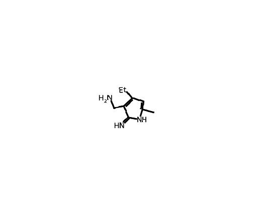 CCc1cc(C)[nH]c(=N)c1CN